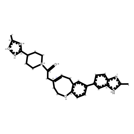 Cc1nc2ccc(-c3ccc4c(c3)C/C=C(/CC(=O)N3CCC(c5noc(C)n5)CC3)CCO4)cc2[nH]1